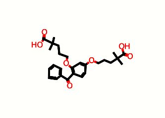 CC(C)(CCCOc1ccc(C(=O)c2ccccc2)c(OCCCC(C)(C)C(=O)O)c1)C(=O)O